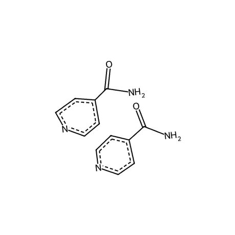 NC(=O)c1ccncc1.NC(=O)c1ccncc1